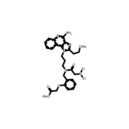 CCN(CC)CC(=O)N(CCCn1c(CCOC)nc2c(N)nc3ccccc3c21)Cc1ccccc1OCC(=O)OC